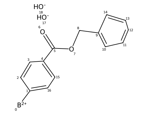 [B+2]c1ccc(C(=O)OCc2ccccc2)cc1.[OH-].[OH-]